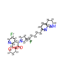 O=C(O)C(c1cc(F)cnc1C1CCCCO1)N1CC[C@@H](C(F)CCCCc2ccc3c(n2)NCCC3)C1